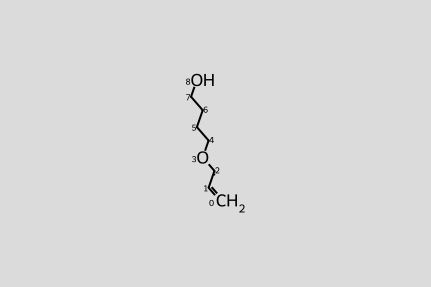 C=C[CH]OCCCCO